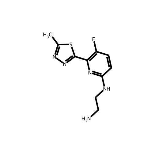 Cc1nnc(-c2nc(NCCN)ccc2F)s1